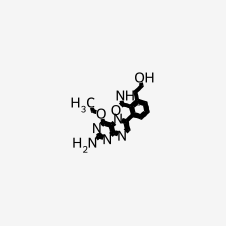 CCOc1nc(N)nc2ncc(-c3cccc(CCO)c3C(N)=O)nc12